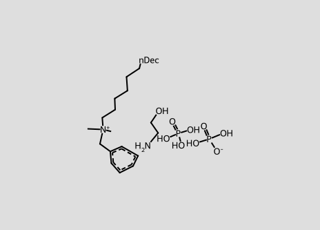 CCCCCCCCCCCCCCCC[N+](C)(C)Cc1ccccc1.NCCO.O=P(O)(O)O.O=P([O-])(O)O